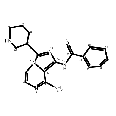 Nc1nccn2c(C3CCCNC3)nc(NC(=O)c3ccccc3)c12